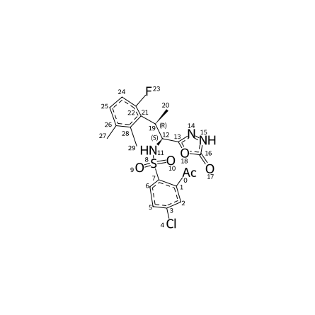 CC(=O)c1cc(Cl)ccc1S(=O)(=O)N[C@H](c1n[nH]c(=O)o1)[C@H](C)c1c(F)ccc(C)c1C